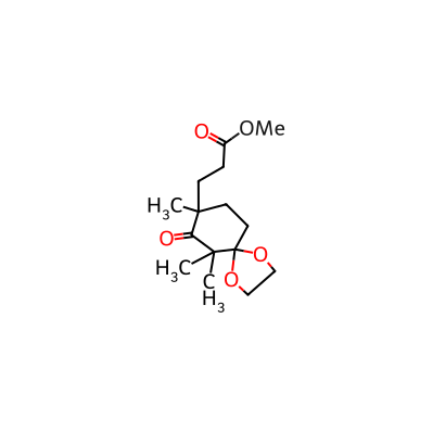 COC(=O)CCC1(C)CCC2(OCCO2)C(C)(C)C1=O